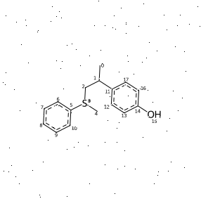 CC(C[S+](C)c1ccccc1)c1ccc(O)cc1